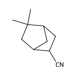 CC1(C)CC2CC1CC2C#N